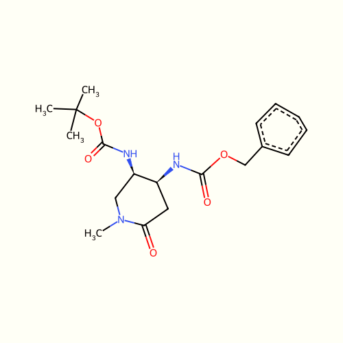 CN1C[C@@H](NC(=O)OC(C)(C)C)[C@@H](NC(=O)OCc2ccccc2)CC1=O